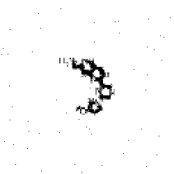 CO[C@@H]1CCN(c2cncc(-c3ccc4cnc(CN)cc4n3)n2)C1